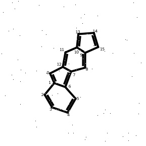 [C]1=c2ccccc2=c2cc3c(cc21)=CC=C3